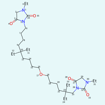 CCN1CC(=O)N(CCCCC(CC)(CC)CCCCOCCCCC(CC)(CC)CN2C(=O)CN(CC)C2=O)C1=O